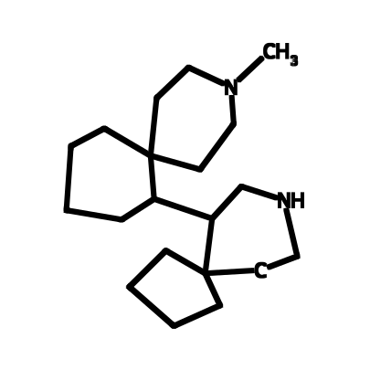 CN1CCC2(CCCCC2C2CNCCC23CCCC3)CC1